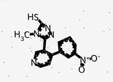 Cn1c(S)nnc1-c1cnccc1-c1cccc([N+](=O)[O-])c1